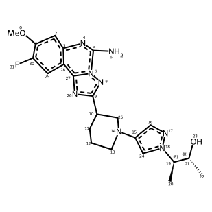 COc1cc2nc(N)n3nc(C4CCCN(c5cnn([C@H](C)[C@@H](C)O)c5)C4)nc3c2cc1F